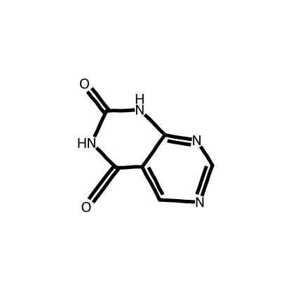 O=c1[nH]c(=O)c2cncnc2[nH]1